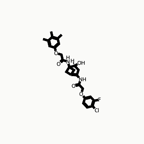 Cc1cc(OCC(=O)NC23CC(=C(NC(=O)COc4ccc(Cl)c(F)c4)C[C@@H]2O)C3)cc(C)c1C